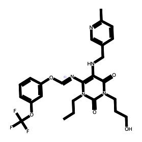 CCCn1c(/N=C/Oc2cccc(OC(F)(F)F)c2)c(NCc2ccc(C)nc2)c(=O)n(CCCO)c1=O